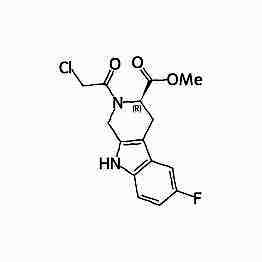 COC(=O)[C@H]1Cc2c([nH]c3ccc(F)cc23)CN1C(=O)CCl